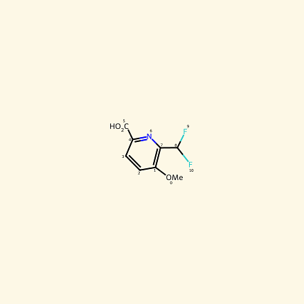 COc1ccc(C(=O)O)nc1C(F)F